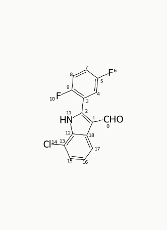 O=Cc1c(-c2cc(F)ccc2F)[nH]c2c(Cl)cccc12